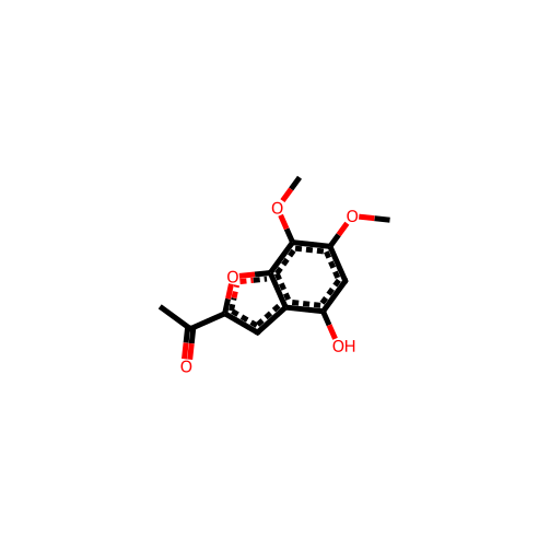 COc1cc(O)c2cc(C(C)=O)oc2c1OC